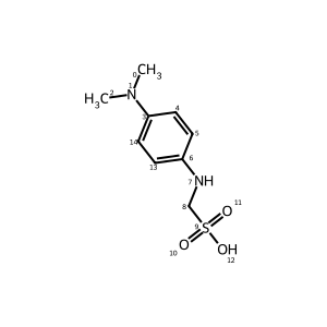 CN(C)c1ccc(NCS(=O)(=O)O)cc1